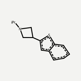 CC(C)N1CC(c2cc3ccccc3s2)C1